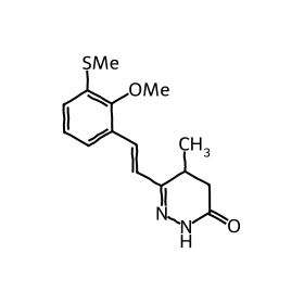 COc1c(C=CC2=NNC(=O)CC2C)cccc1SC